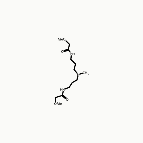 COCC(=O)NCCCN(C)CCCNC(=O)COC